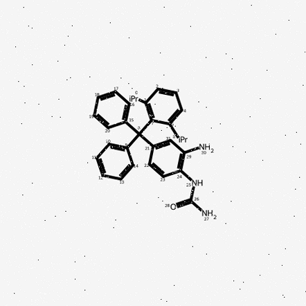 CC(C)c1cccc(C(C)C)c1C(c1ccccc1)(c1ccccc1)c1ccc(NC(N)=O)c(N)c1